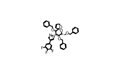 Fc1cc(-c2cnn([C@H]3[C@@H](OCc4ccccc4)[C@@H](COCc4ccccc4)O[C@@]4(C=CCO4)[C@@H]3OCc3ccccc3)c2)cc(F)c1F